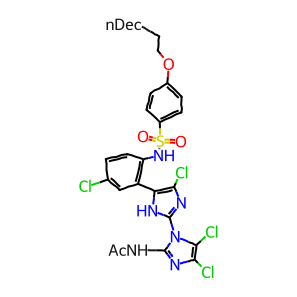 CCCCCCCCCCCCOc1ccc(S(=O)(=O)Nc2ccc(Cl)cc2-c2[nH]c(-n3c(NC(C)=O)nc(Cl)c3Cl)nc2Cl)cc1